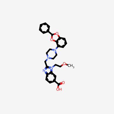 COCCn1c(CN2CCN(c3cccc4c3OC(c3ccccc3)O4)CC2)nc2ccc(C(=O)O)cc21